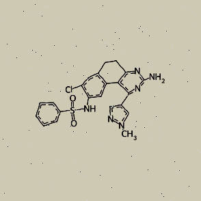 Cn1cc(-c2nc(N)nc3c2-c2cc(NS(=O)(=O)c4ccccc4)c(Cl)cc2CC3)cn1